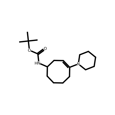 CC(C)(C)OC(=O)NC1CC=C(N2CCCCC2)CCCC1